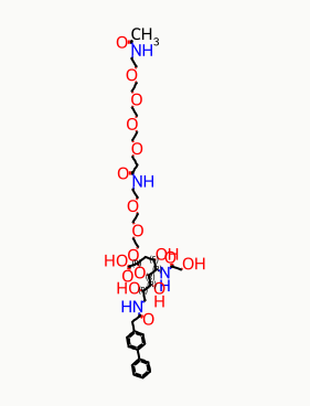 CC(=O)NCCOCCOCCOCCOCCC(=O)NCCOCCOCCO[C@]1(C(=O)O)C[C@H](O)[C@@H](NC(=O)CO)[C@H]([C@H](O)[C@H](O)CNC(=O)Cc2ccc(-c3ccccc3)cc2)O1